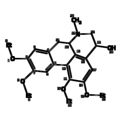 CCOc1cc2c(cc1OCC)-c1c(OCC)c(OCC)cc3c1C(C2)N(C)CC3O